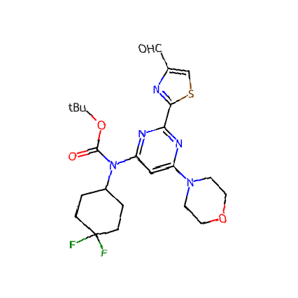 CC(C)(C)OC(=O)N(c1cc(N2CCOCC2)nc(-c2nc(C=O)cs2)n1)C1CCC(F)(F)CC1